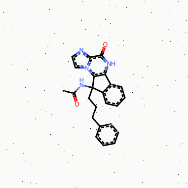 CC(=O)NC1(CCCc2ccccc2)c2ccccc2-c2[nH]c(=O)c3nccn3c21